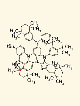 CC(C)(C)c1ccc(N2c3cc4c(cc3B3c5sc6cc7c(cc6c5N(c5ccc6c(c5)C(C)(C)CCC6(C)C)c5cc(N(c6ccccc6)c6ccc8c(c6)C(C)(C)CCC8(C)C)cc2c53)C(C)(C)CCC7(C)C)C(C)(C)CCC4(C)C)c(-c2ccccc2)c1